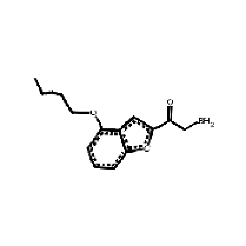 BCC(=O)c1cc2c(OCCCC)cccc2o1